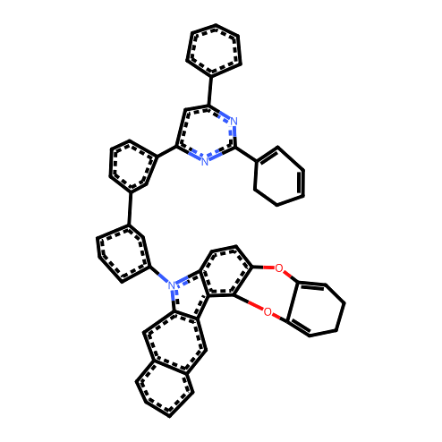 C1=CCCC(c2nc(-c3ccccc3)cc(-c3cccc(-c4cccc(-n5c6cc7ccccc7cc6c6c7c(ccc65)OC5=CCCC=C5O7)c4)c3)n2)=C1